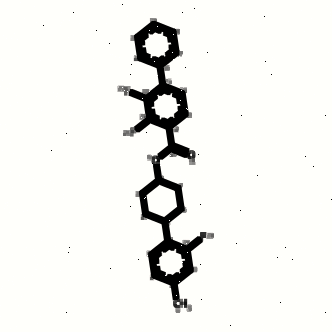 Cc1ccc(C2CCC(OC(=O)c3ccc(-c4ccccc4)c(F)c3F)CC2)c(F)c1